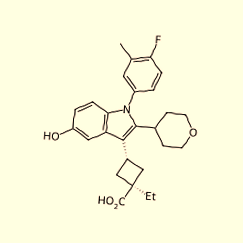 CC[C@]1(C(=O)O)C[C@H](c2c(C3CCOCC3)n(-c3ccc(F)c(C)c3)c3ccc(O)cc32)C1